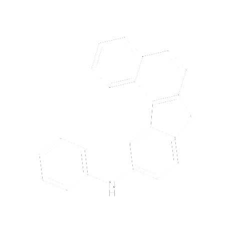 c1ccc(Nc2ccc3sc4ccc5ccccc5c4c3c2)cc1